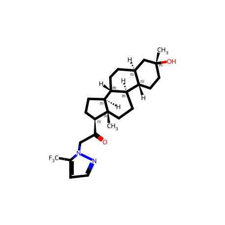 C[C@@]1(O)CC[C@H]2[C@@H](CC[C@@H]3[C@@H]2CC[C@]2(C)[C@@H](C(=O)Cn4nccc4C(F)(F)F)CC[C@@H]32)C1